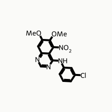 COc1cc2ncnc(Nc3cccc(Cl)c3)c2c([N+](=O)[O-])c1OC